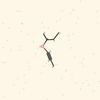 CC#COC(C)CC